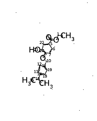 CCOC(=O)c1ccc(OCc2ccc(C(C)C)cc2)c(O)c1